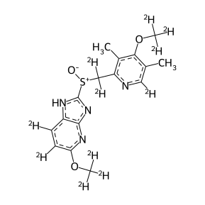 [2H]c1nc(C([2H])([2H])[S+]([O-])c2nc3nc(OC([2H])([2H])[2H])c([2H])c([2H])c3[nH]2)c(C)c(OC([2H])([2H])[2H])c1C